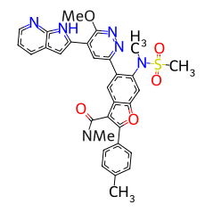 CNC(=O)c1c(-c2ccc(C)cc2)oc2cc(N(C)S(C)(=O)=O)c(-c3cc(-c4cc5cccnc5[nH]4)c(OC)nn3)cc12